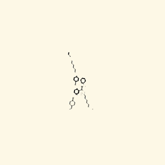 C=CCOCCCCCCOc1ccc(C(=O)Oc2ccc(OC(=O)C3CCC(CC)CC3)cc2C(=NNCCCCCCO)c2nc3ccccc3s2)cc1